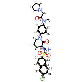 CN(C(=O)CN1CCCC1)c1ccc(N2CCCC(NS(=O)(=O)c3ccc4cc(Cl)ccc4c3)C2=O)cc1